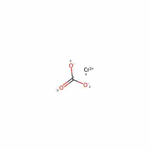 O=C([O-])[O-].[Cr+2]